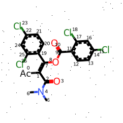 CC(=O)C(C(=O)N(C)C)=C(OC(=O)c1ccc(Cl)cc1Cl)c1ccc(Cl)cc1Cl